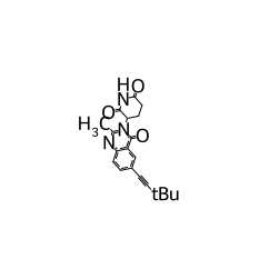 Cc1nc2ccc(C#CC(C)(C)C)cc2c(=O)n1C1CCC(=O)NC1=O